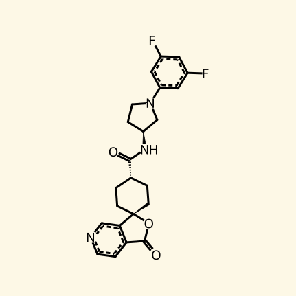 O=C1O[C@]2(CC[C@@H](C(=O)N[C@H]3CCN(c4cc(F)cc(F)c4)C3)CC2)c2cnccc21